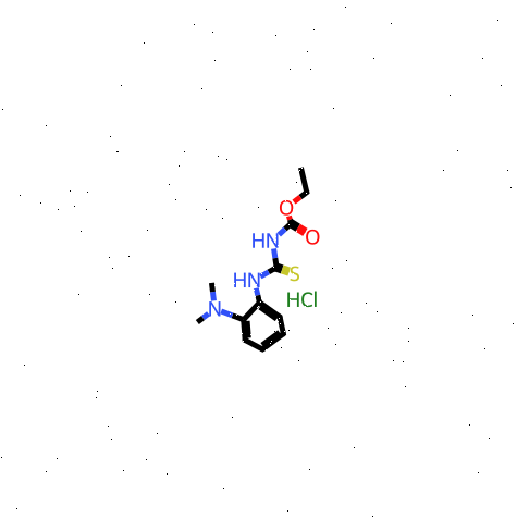 CCOC(=O)NC(=S)Nc1ccccc1N(C)C.Cl